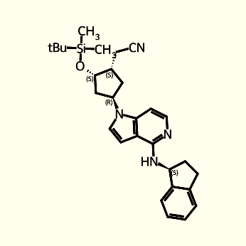 CC(C)(C)[Si](C)(C)O[C@H]1C[C@H](n2ccc3c(N[C@H]4CCc5ccccc54)nccc32)C[C@H]1CC#N